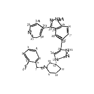 Fc1ccccc1CN1CCC[C@@H](n2cc(-c3ccc4[nH]nc(-c5ccncc5)c4c3)nn2)C1